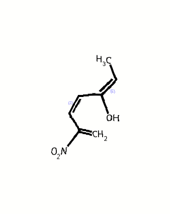 C=C(/C=C\C(O)=C/C)[N+](=O)[O-]